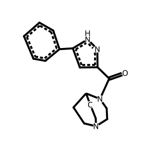 O=C(c1cc(-c2ccccc2)[nH]n1)N1CCN2CCC1CC2